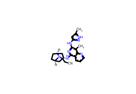 Cc1cc(Nc2nc(N[C@@H]3C[C@H]4CC[C@@H](C3)N4CCC#N)c3cccnc3c2C)n[nH]1